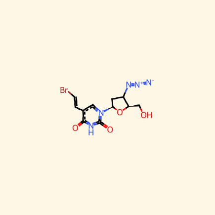 [N-]=[N+]=NC1C[C@H](n2cc(/C=C/Br)c(=O)[nH]c2=O)O[C@@H]1CO